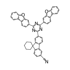 N#Cc1ccc2c(c1)-c1ccc(-c3nc(-c4ccc5c(c4)oc4ccccc45)nc(-c4ccc5c(c4)oc4ccccc45)n3)cc1C21CCCCC1